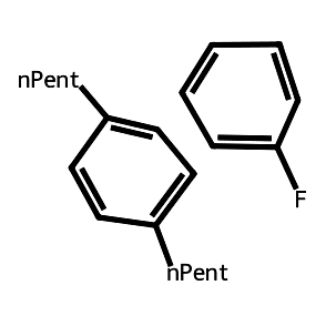 CCCCCc1ccc(CCCCC)cc1.Fc1ccccc1